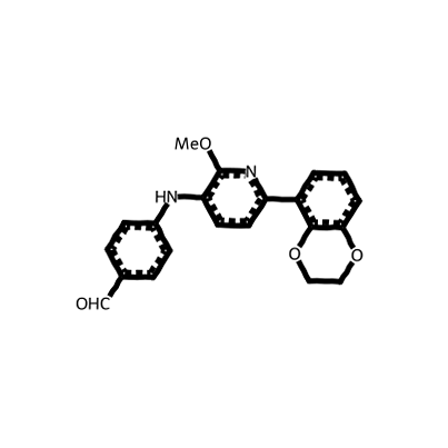 COc1nc(-c2cccc3c2OCCO3)ccc1Nc1ccc(C=O)cc1